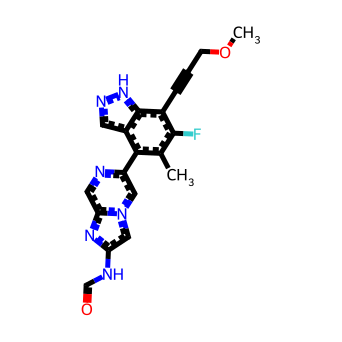 COCC#Cc1c(F)c(C)c(-c2cn3cc(NC=O)nc3cn2)c2cn[nH]c12